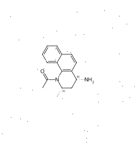 CC(=O)N1c2c(ccc3ccccc23)[C@H](N)C[C@@H]1C